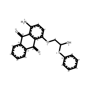 Nc1ccc(OCC(O)Sc2ccccc2)c2c1C(=O)c1ccccc1C2=O